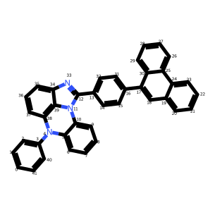 c1ccc(N2c3ccccc3-n3c(-c4ccc(-c5cc6ccccc6c6ccccc56)cc4)nc4cccc2c43)cc1